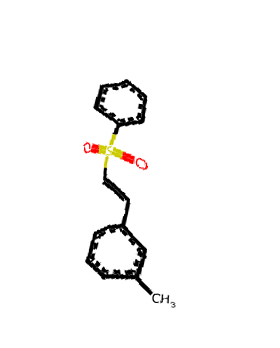 Cc1cccc(/C=C/S(=O)(=O)c2ccccc2)c1